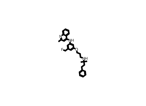 Cc1cc(Nc2cc(CF)cc(OCCCNC(C)(C)CCc3ccccc3)c2)c2ccccc2n1